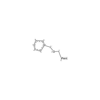 [CH2]C(CCC)COCc1ccccc1